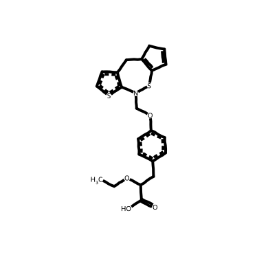 CCOC(Cc1ccc(OCN2SC3=C(CC=C3)Cc3ccsc32)cc1)C(=O)O